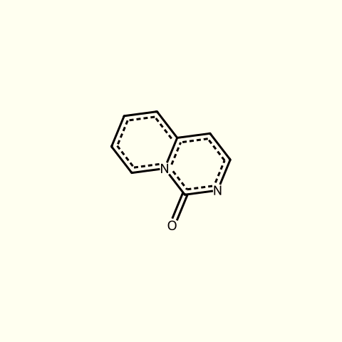 O=c1nccc2ccccn12